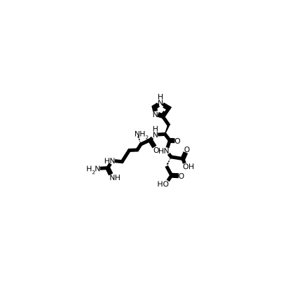 N=C(N)NCCC[C@H](N)C(=O)N[C@@H](Cc1c[nH]cn1)C(=O)N[C@@H](CC(=O)O)C(=O)O